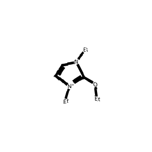 CCOc1n(CC)cc[n+]1CC